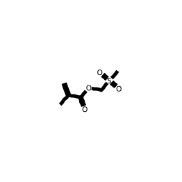 C=C(C)C(=O)O[CH]S(C)(=O)=O